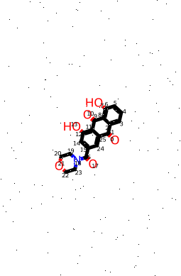 O=C1c2cccc(O)c2C(=O)c2c(O)cc(C(=O)N3CCOCC3)cc21